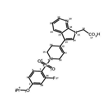 CC(C)Oc1ccc(S(=O)(=O)N2CC=C(c3cn(CC(=O)O)c4ncccc34)CC2)c(F)c1